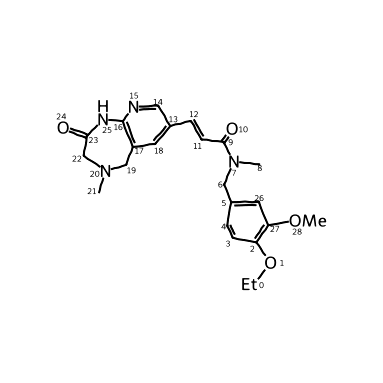 CCOc1ccc(CN(C)C(=O)C=Cc2cnc3c(c2)CN(C)CC(=O)N3)cc1OC